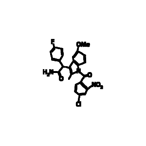 COc1ccc2c(c1)c(C(C(N)=O)c1ccc(F)cc1)c(C)n2C(=O)c1ccc(Cl)cc1[N+](=O)[O-]